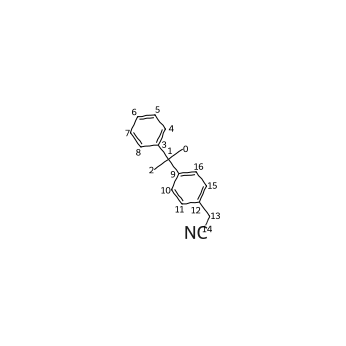 CC(C)(c1ccccc1)c1ccc(CC#N)cc1